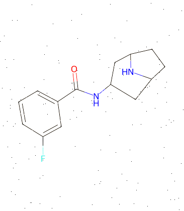 O=C(NC1CC2CCC(C1)N2)c1cccc(F)c1